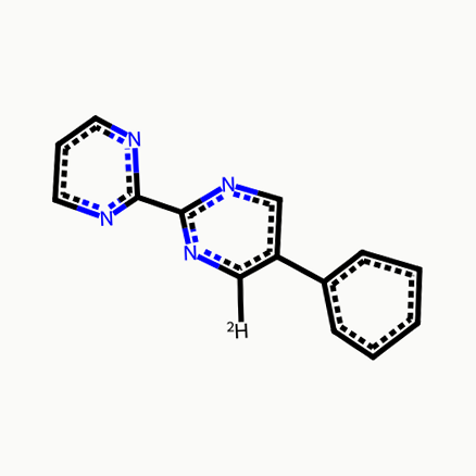 [2H]c1nc(-c2ncccn2)ncc1-c1ccccc1